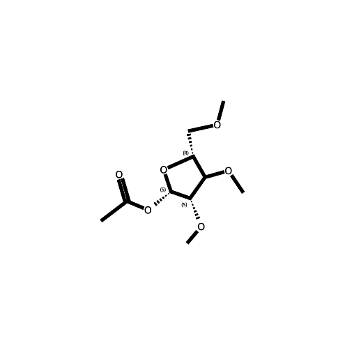 COC[C@H]1O[C@@H](OC(C)=O)[C@@H](OC)C1OC